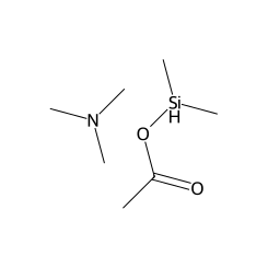 CC(=O)O[SiH](C)C.CN(C)C